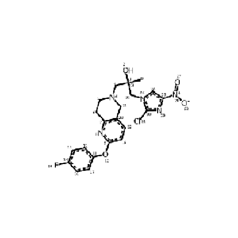 C[C@](O)(CN1CCc2nc(Oc3ccc(F)cc3)ccc2C1)Cn1cc([N+](=O)[O-])nc1Cl